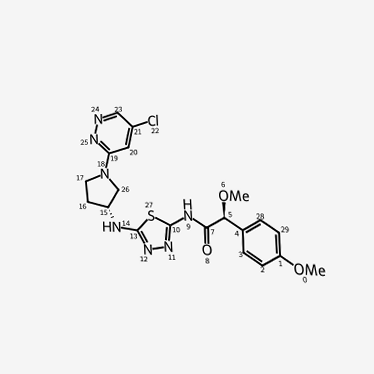 COc1ccc([C@H](OC)C(=O)Nc2nnc(N[C@@H]3CCN(c4cc(Cl)cnn4)C3)s2)cc1